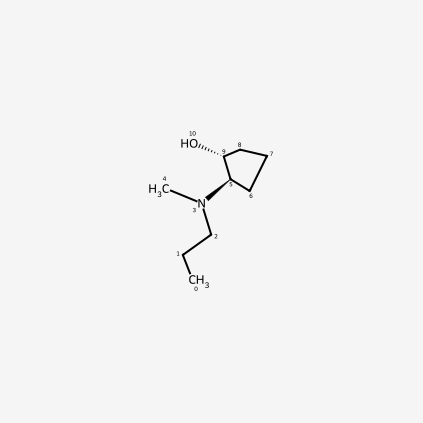 CCCN(C)[C@@H]1CCC[C@H]1O